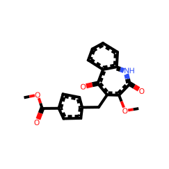 COC(=O)c1ccc(Cc2c(OC)c(=O)[nH]c3ccccc3c2=O)cc1